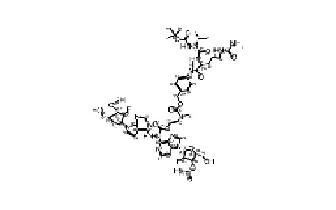 CC(C)[C@H](NC(=O)OC(C)(C)C)C(=O)N[C@@H](CCCNC(N)=O)C(=O)Nc1ccc(COC(=O)N(C)CCOC(=O)N(Nc2ncnc3c2ccn3[C@@H]2O[C@H](CO)[C@@H](OS)[C@H]2F)c2ncnc3c2ncn3[C@@H]2O[C@H](CO)[C@@H](O[PH](=O)S)[C@H]2F)cc1